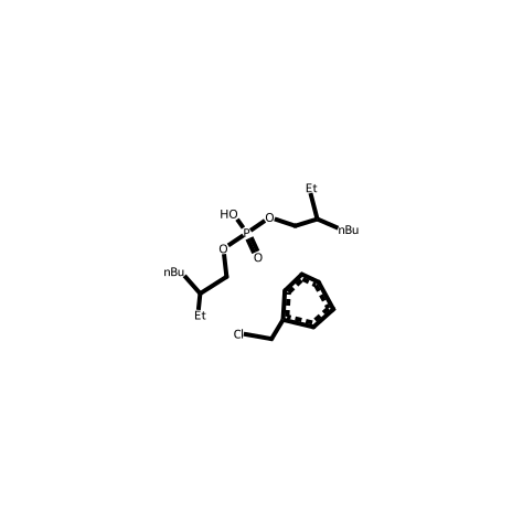 CCCCC(CC)COP(=O)(O)OCC(CC)CCCC.ClCc1ccccc1